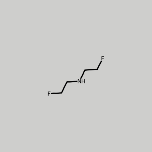 FCCNCCF